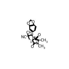 CN1C(=O)[C@@]23C[C@](C)(C#N)[C@H](c4ccc5c(c4)OCO5)N2C(=O)[C@@]1(C)SS3